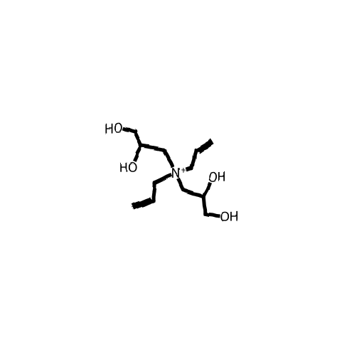 C=CC[N+](CC=C)(CC(O)CO)CC(O)CO